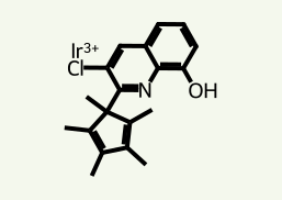 CC1=C(C)C(C)(c2nc3c(O)cccc3cc2Cl)C(C)=C1C.[Ir+3]